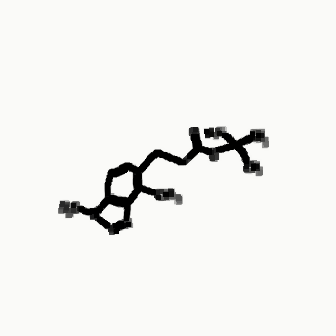 Cc1c(CCC(=O)OC(C)(C)C)ccc2c1nnn2C